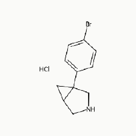 Brc1ccc(C23CNCC2C3)cc1.Cl